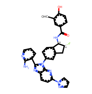 Nc1ncccc1-c1nc2ccc(-n3cccn3)nc2n1-c1ccc2c(c1)C[C@@H](F)[C@@H]2NC(=O)c1ccc(O)c(C=O)c1